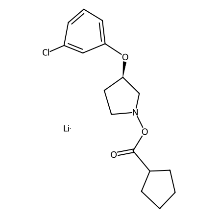 O=C(ON1CC[C@@H](Oc2cccc(Cl)c2)C1)C1CCCC1.[Li]